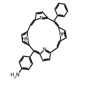 Nc1ccc(-c2c3nc(cc4ccc([nH]4)c(-c4ccccc4)c4nc(cc5ccc2[nH]5)C=C4)C=C3)cc1